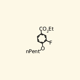 CCCCCOc1ccc(C(=O)OCC)cc1F